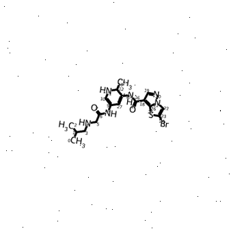 CC(C)CNCC(=O)NC1=CNC(C)C(NC(=O)c2cnn3cc(Br)sc23)=C1